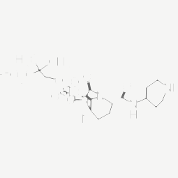 C=C1[C@H]2CC[C@@H](C(=O)NC3CCNCC3)N1C(=O)N2OS(=O)(=O)OCC(C)(C)C(=O)OCC